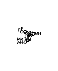 COc1ccnc(C[S+]([O-])C2(S(=O)(=O)c3ccc(O)cc3)Nc3ccc(OC(F)F)cc3N2)c1OC